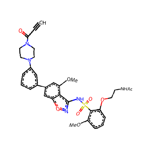 C#CC(=O)N1CCN(c2cccc(-c3cc(OC)c4c(NS(=O)(=O)c5c(OC)cccc5OCCNC(C)=O)noc4c3)c2)CC1